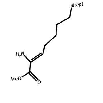 CCCCCCCCCCCC=C(N)C(=O)OC